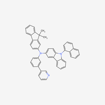 CC1(C)c2ccccc2-c2ccc(N(c3cccc(-c4cccnc4)c3)c3ccc4c(c3)c3ccccc3n4-c3cccc4ccccc34)cc21